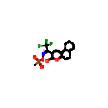 CS(=O)(=O)O/N=C(\c1cc2c(ccc3ccccc32)oc1=O)C(F)(F)F